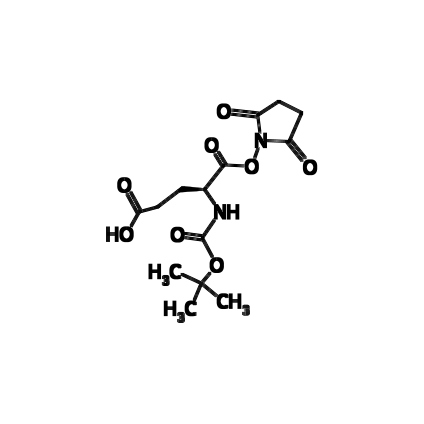 CC(C)(C)OC(=O)N[C@@H](CCC(=O)O)C(=O)ON1C(=O)CCC1=O